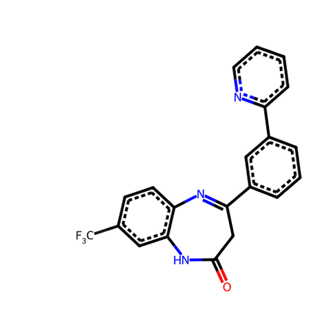 O=C1CC(c2cccc(-c3ccccn3)c2)=Nc2ccc(C(F)(F)F)cc2N1